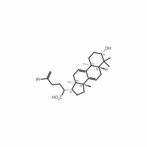 C=C(CCC(C(=O)O)[C@H]1CC[C@@]2(C)C3=CC[C@H]4C(C)(C)[C@@H](O)CC[C@]4(C)C3=CC[C@]12C)C(C)C